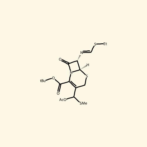 CCSC=N[C@H]1C(=O)N2C(C(=O)OC(C)(C)C)=C(C(OC(C)=O)SC)CS[C@H]12